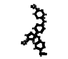 COc1ccc(C[N+]2(c3ccc(CN4CCN(C)CC4)cc3)C=CC(C)=N2)cc1